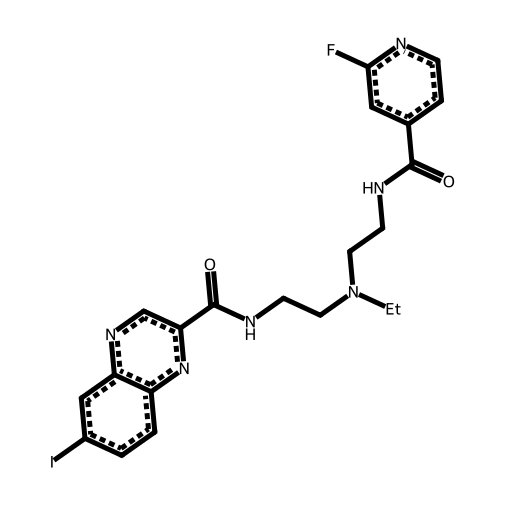 CCN(CCNC(=O)c1ccnc(F)c1)CCNC(=O)c1cnc2cc(I)ccc2n1